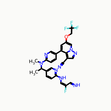 CC(c1ccc(N/C=C(/F)C=N)nc1)N(C)c1ccc(-c2cc(OCC(F)(F)F)cn3ncc(C#N)c23)cn1